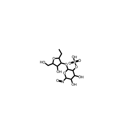 CCC1OC(CO)C(O)C1OC1OC(N=O)C(O)C(O)C1OS(=O)(=O)O